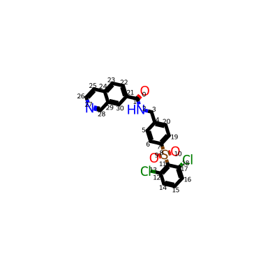 O=C(NCc1ccc(S(=O)(=O)c2c(Cl)cccc2Cl)cc1)c1ccc2ccncc2c1